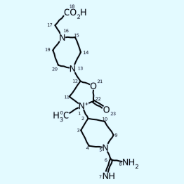 C[N+]1(C2CCN(C(=N)N)CC2)CC(N2CCN(CC(=O)O)CC2)OC1=O